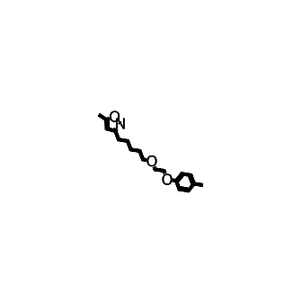 Cc1ccc(OCCOCCCCCc2cc(C)on2)cc1